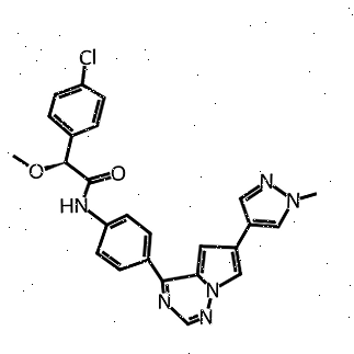 CO[C@H](C(=O)Nc1ccc(-c2ncnn3cc(-c4cnn(C)c4)cc23)cc1)c1ccc(Cl)cc1